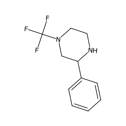 FC(F)(F)N1CCNC(c2ccccc2)C1